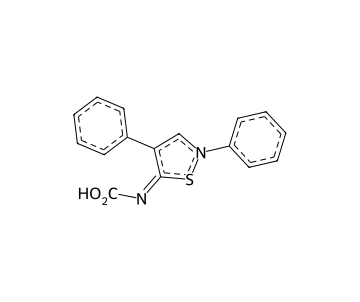 O=C(O)N=c1sn(-c2ccccc2)cc1-c1ccccc1